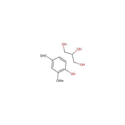 COc1cc(C=O)ccc1O.OCC(O)CO